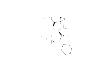 CC(C)(C)[S@+]([O-])N[C@H](c1cn(C2(C(N)=O)CC2)nn1)C1CCCCC1